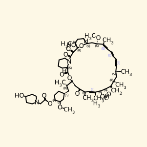 C=C1[C@H](C)C[C@H](C)/C=C/C=C/C=C(\C)[C@@H](OC)C[C@@H]2CC[C@@H](C)[C@@](O)(O2)C(=O)C(=O)N2CCCC[C@H]2C(=O)O[C@H]([C@H](C)C[C@@H]2CC[C@@H](OC(=O)CN3CCC(O)CC3)[C@H](OC)C2)CC(=O)[C@H](C)/C=C(\C)[C@@H](O)[C@H]1OC